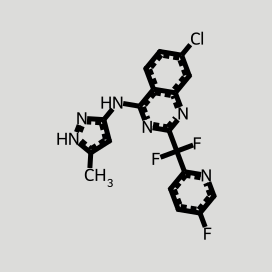 Cc1cc(Nc2nc(C(F)(F)c3ccc(F)cn3)nc3cc(Cl)ccc23)n[nH]1